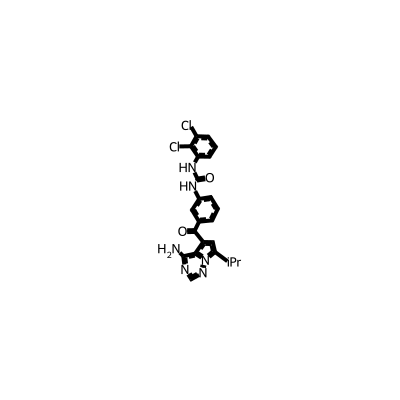 CC(C)c1cc(C(=O)c2cccc(NC(=O)Nc3cccc(Cl)c3Cl)c2)c2c(N)ncnn12